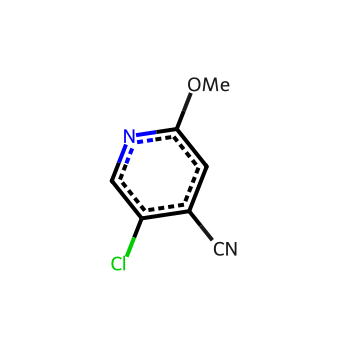 COc1cc(C#N)c(Cl)cn1